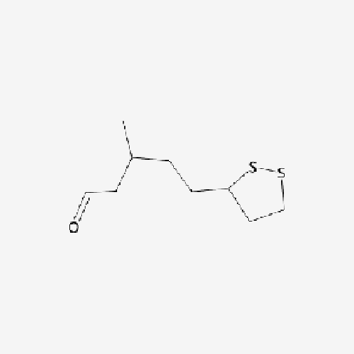 CC(CC=O)CCC1CCSS1